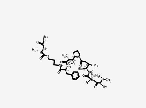 CC[C@H](C)[C@@H]([C@@H](CC(=O)N1CCC[C@H]1[C@H](OC)[C@@H](C)C(=O)N[C@@H](Cc1ccccc1)C(=O)NCCCOC(=O)[C@H](C)NC(=O)OC(C)(C)C)OC)N(C)C(=O)[C@@H](NC(=O)[C@H](C(C)C)N(C)C)C(C)C